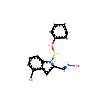 N#Cc1cccc2c1cc(/C=N/O)n2SOc1ccccc1